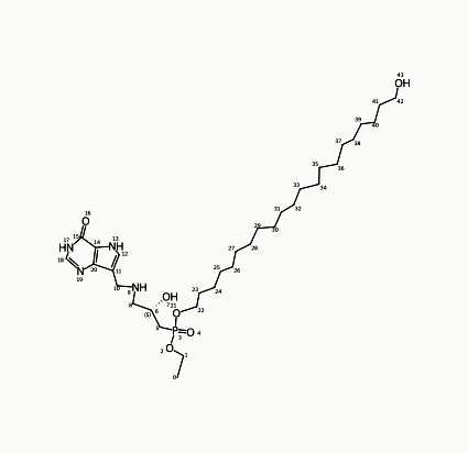 CCOP(=O)(C[C@@H](O)CNCc1c[nH]c2c(=O)[nH]cnc12)OCCCCCCCCCCCCCCCCCCCCCO